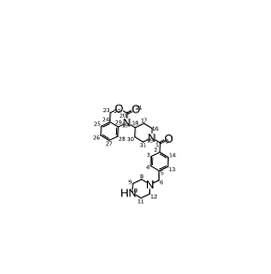 O=C(c1ccc(CN2CCNCC2)cc1)N1CCC(N2C(=O)OCc3ccccc32)CC1